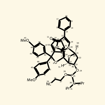 COc1ccc(C(OC2=C3NC(=O)C(c4ccccc4)=CN3[C@H]3C[C@@H](OP(OCCC#N)N(C(C)C)C(C)C)[C@@H]2O3)(c2ccccc2)c2ccc(OC)cc2)cc1